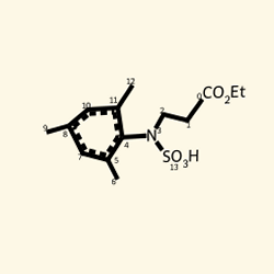 CCOC(=O)CCN(c1c(C)cc(C)cc1C)S(=O)(=O)O